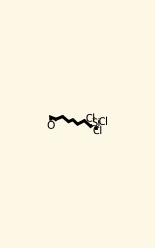 Cl[Si](Cl)(Cl)CCCCCCC1CO1